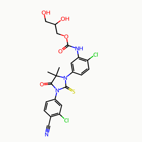 CC1(C)C(=O)N(c2ccc(C#N)c(Cl)c2)C(=S)N1c1ccc(Cl)c(NC(=O)OCC(O)CO)c1